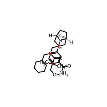 CC(C)(CO)C(=O)N(CCN1[C@@H]2CC[C@H]1C[C@@H](c1cccc(C(N)=O)c1)C2)CC1CCCCC1